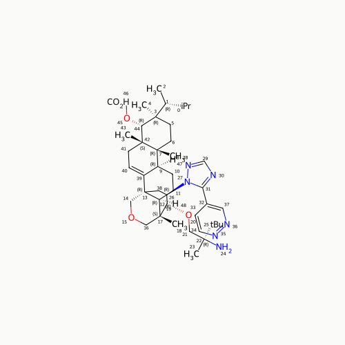 CC(C)[C@@H](C)[C@@]1(C)CC[C@]2(C)[C@H]3CC[C@@H]4[C@@]5(COC[C@@]4(C)[C@@H](OC[C@](C)(N)C(C)(C)C)[C@H](n4ncnc4-c4ccnnc4)C5)C3=CC[C@]2(C)[C@@H]1OC(=O)O